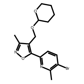 Cc1nc(-c2onc(C)c2COC2CCCCO2)ccc1Br